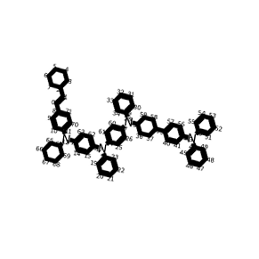 C(=CC1CCCCC1)c1ccc(N(c2ccc(N(c3ccccc3)c3ccc(N(c4ccccc4)C4CCC(c5ccc(N(c6ccccc6)c6ccccc6)cc5)CC4)cc3)cc2)C2CCCCC2)cc1